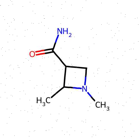 CC1C(C(N)=O)CN1C